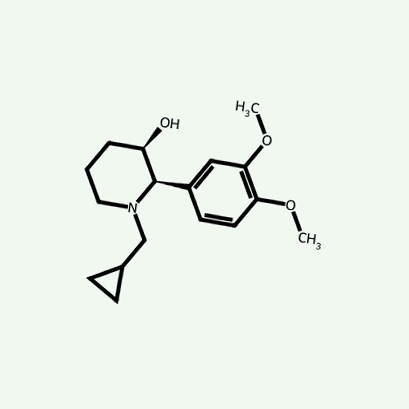 COc1ccc([C@@H]2[C@H](O)CCCN2CC2CC2)cc1OC